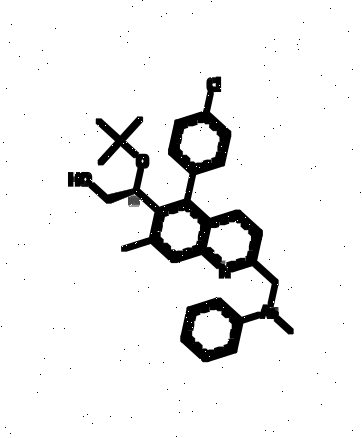 Cc1cc2nc(C[As](C)c3ccccc3)ccc2c(-c2ccc(Cl)cc2)c1[C@@H](CO)OC(C)(C)C